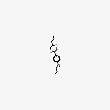 CCCOc1ccc(C2COC(CCC)CO2)cc1